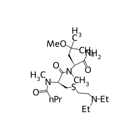 CCCC(=O)N(C)[C@H](CSCCN(CC)CC)C(=O)N(C)[C@@H](CC(C)(C)OC)C(N)=O